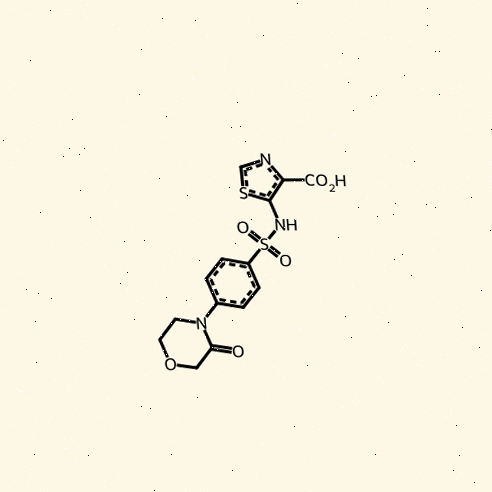 O=C(O)c1ncsc1NS(=O)(=O)c1ccc(N2CCOCC2=O)cc1